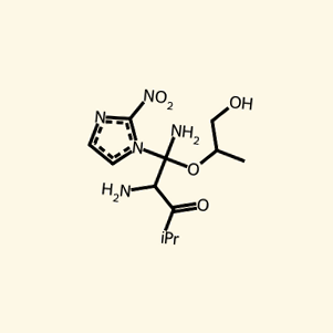 CC(CO)OC(N)(C(N)C(=O)C(C)C)n1ccnc1[N+](=O)[O-]